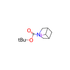 CC(C)(C)OC(=O)N1CC2CC(C1)C2I